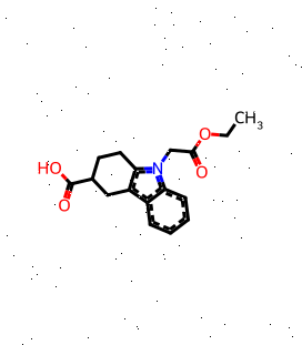 CCOC(=O)Cn1c2c(c3ccccc31)CC(C(=O)O)CC2